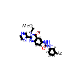 COCCn1c(-c2cnccn2)nc2ccc(NC(=O)Nc3cccc(C(C)=O)c3)cc2c1=O